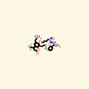 CCCc1cc2c(C(F)(F)F)cc(=O)oc2c(CCC)c1OCCCCN(C=O)C(=O)NC(C)c1ccccc1